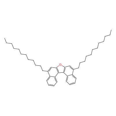 CCCCCCCCCCCCc1cc2oc3cc(CCCCCCCCCCCC)c4ccccc4c3c2c2ccccc12